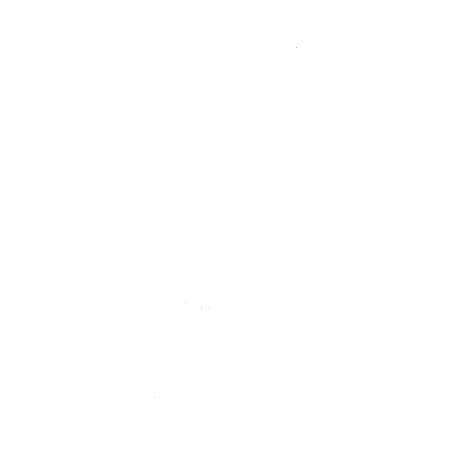 CC(=O)CCCCCCCCCCCCC(=O)CC(=O)C=C=O